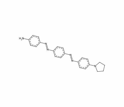 Nc1ccc(N=Nc2ccc(N=Nc3ccc(N4CCCC4)cc3)cc2)cc1